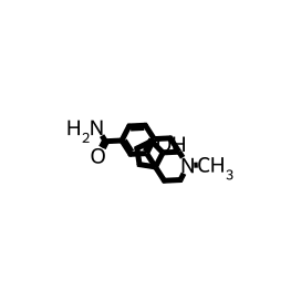 CN1CCC23CCCC2(O)C1Cc1ccc(C(N)=O)cc13